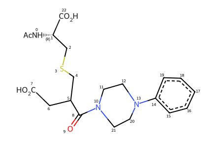 CC(=O)N[C@@H](CSCC(CC(=O)O)C(=O)N1CCN(c2ccccc2)CC1)C(=O)O